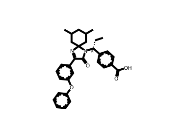 CC[C@H](c1ccc(C(=O)O)cc1)N1C(=O)C(c2cccc(Oc3ccccc3)c2)=NC12CC(C)CC(C)C2